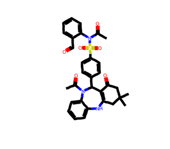 CC(=O)N1c2ccccc2NC2=C(C(=O)CC(C)(C)C2)C1c1ccc(S(=O)(=O)N(C(C)=O)c2ccccc2C=O)cc1